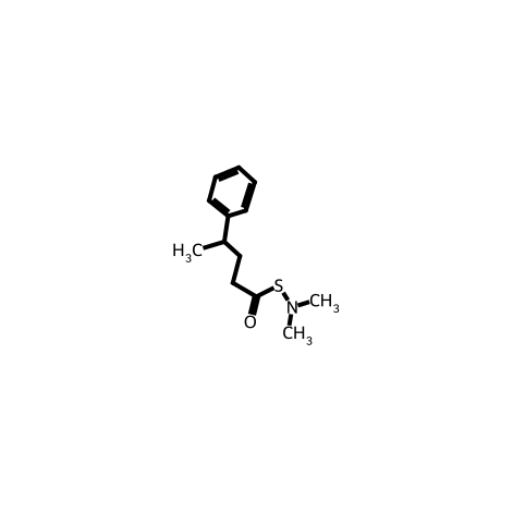 CC(CCC(=O)SN(C)C)c1ccccc1